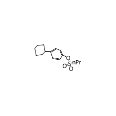 CCCS(=O)(=O)Oc1ccc(C2CCCCC2)cc1